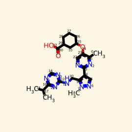 Cc1nc(-c2cnn(C)c2CNc2ncnc(C(C)C)n2)ncc1OC1CCCC(C(=O)O)C1